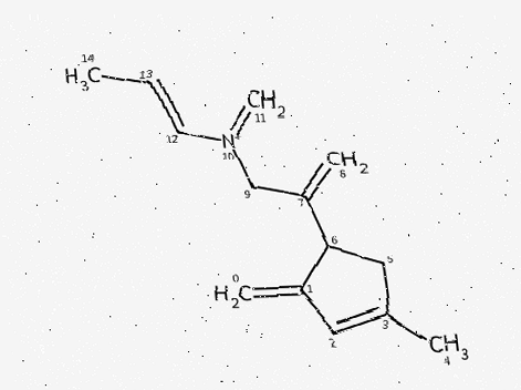 C=C1C=C(C)CC1C(=C)C[N+](=C)C=CC